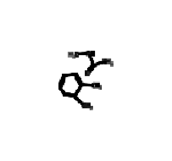 CNC(N)=O.Cc1ccccc1C